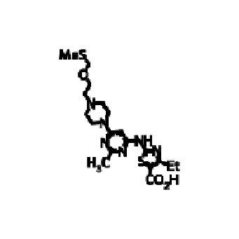 CCc1nc(Nc2cc(N3CCN(CCOCSC)CC3)nc(C)n2)sc1C(=O)O